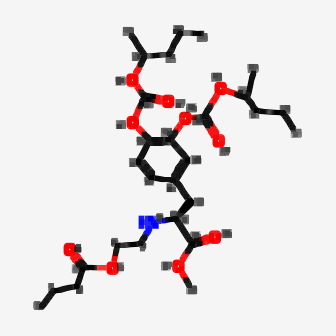 CCCC(=O)OCCN[C@@H](Cc1ccc(OC(=O)OC(C)CCC)c(OC(=O)OC(C)CCC)c1)C(=O)OC